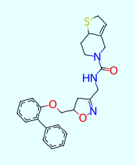 O=C(NCC1=NOC(COc2ccccc2-c2ccccc2)C1)N1CCC2SCC=C2C1